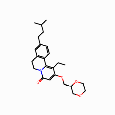 CCc1c(OC[C@@H]2COCCO2)cc(=O)n2c1-c1ccc(CCC(C)C)cc1CC2